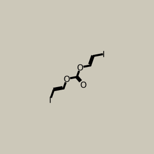 O=C(OC=CI)OC=CI